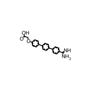 N=C(N)c1ccc(-c2ccc(-c3ccc(OCC(=O)O)cc3)cc2)cc1